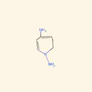 NC1=CCN(N)C=C1